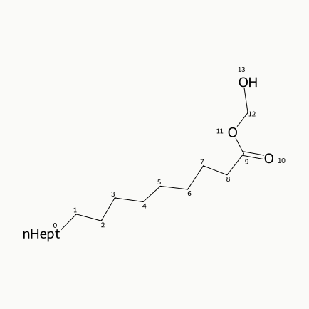 CCCCCCCCCCCCCCCC(=O)OCO